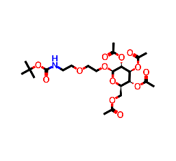 CC(=O)OC[C@H]1O[C@@H](OCCOCCNC(=O)OC(C)(C)C)[C@H](OC(C)=O)[C@@H](OC(C)=O)[C@@H]1OC(C)=O